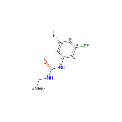 CNCNC(=O)Nc1cc(F)cc(F)c1